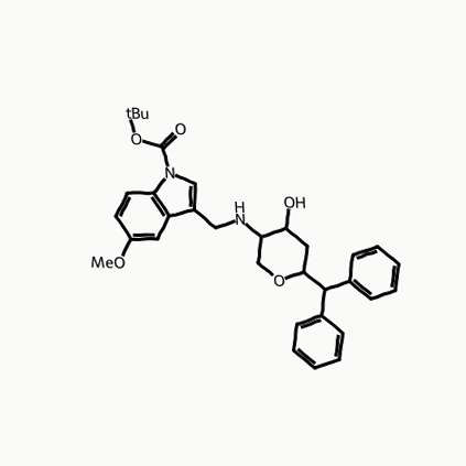 COc1ccc2c(c1)c(CNC1COC(C(c3ccccc3)c3ccccc3)CC1O)cn2C(=O)OC(C)(C)C